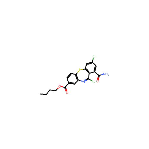 CCCCOC(=O)c1ccc2c(c1)N=C(Cl)c1c(cc(Cl)cc1C(N)=O)S2